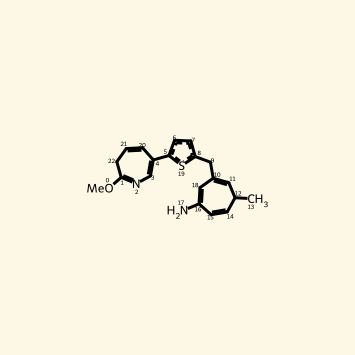 COC1=NC=C(c2ccc(CC3=CC(C)C=CC(N)=C3)s2)C=CC1